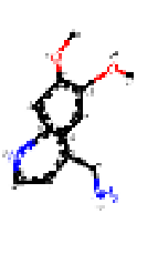 COc1cc2nccc(CN)c2cc1OC